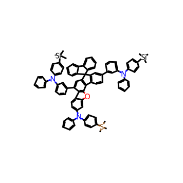 C[Si](C)(C)c1ccc(N(c2ccccc2)c2cccc(-c3ccc4c(c3)C3(c5ccccc5-c5ccccc53)c3cc(-c5cccc(N(c6ccccc6)c6ccc([Si](C)(C)C)cc6)c5)c5c(oc6cc(N(c7ccccc7)c7ccc(S(C)(C)C)cc7)ccc65)c3-4)c2)cc1